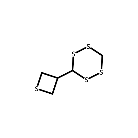 C1SSC(C2CSC2)SS1